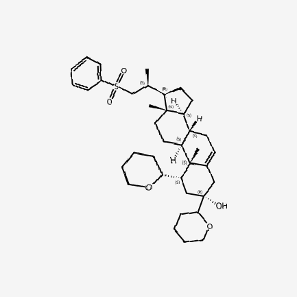 C[C@H](CS(=O)(=O)c1ccccc1)[C@H]1CC[C@H]2[C@@H]3CC=C4C[C@@](O)(C5CCCCO5)C[C@H](C5CCCCO5)[C@]4(C)[C@H]3CC[C@]12C